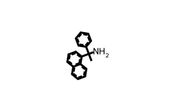 CC(N)(c1ccccc1)c1cccc2ccccc12